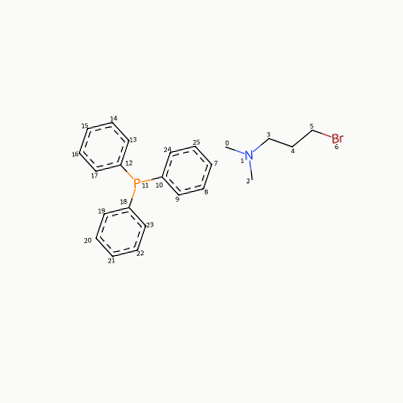 CN(C)CCCBr.c1ccc(P(c2ccccc2)c2ccccc2)cc1